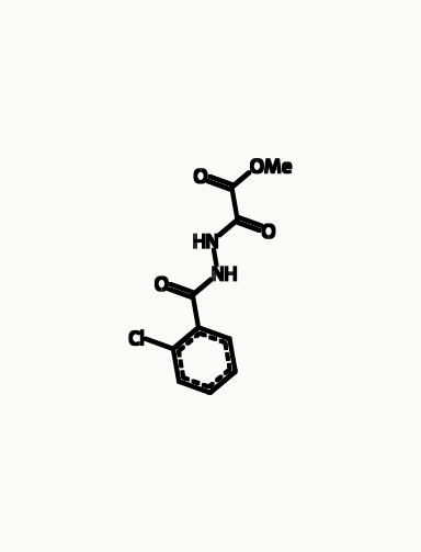 COC(=O)C(=O)NNC(=O)c1ccccc1Cl